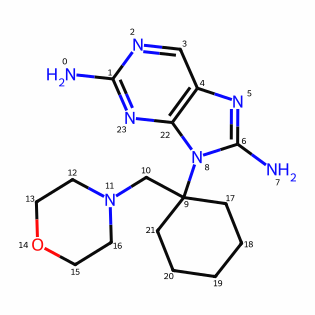 Nc1ncc2nc(N)n(C3(CN4CCOCC4)CCCCC3)c2n1